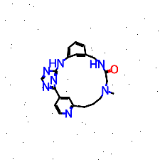 CN1CCCc2cc(ccn2)-c2ncnc(n2)Nc2cccc(c2)CNC(=O)C1